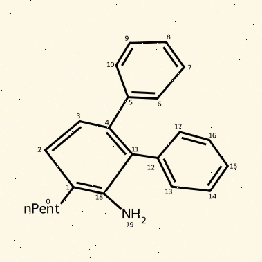 CCCCCc1ccc(-c2ccccc2)c(-c2ccccc2)c1N